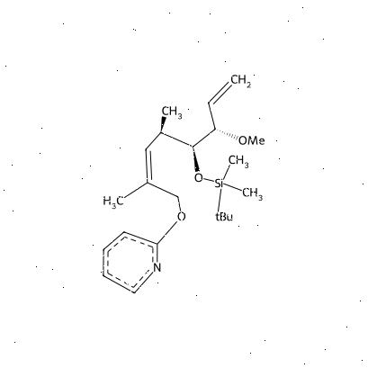 C=C[C@H](OC)[C@@H](O[Si](C)(C)C(C)(C)C)[C@H](C)/C=C(/C)COc1ccccn1